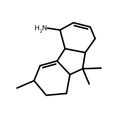 CC1C=C2C3C(N)C=CCC3C(C)(C)C2CC1